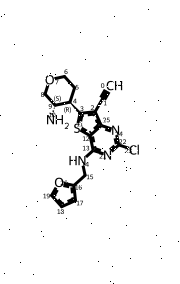 C#Cc1c([C@@H]2CCOC[C@H]2N)sc2c(NCc3ccco3)nc(Cl)nc12